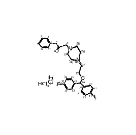 Cl.Cl.O=C(Cc1ccccc1)CN1CCN(CCOC(c2ccc(F)cc2)c2ccc(F)cc2)CC1